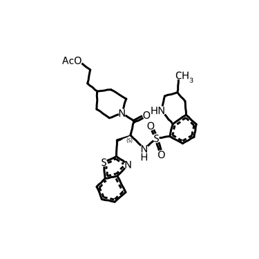 CC(=O)OCCC1CCN(C(=O)[C@H](Cc2nc3ccccc3s2)NS(=O)(=O)c2cccc3c2NCC(C)C3)CC1